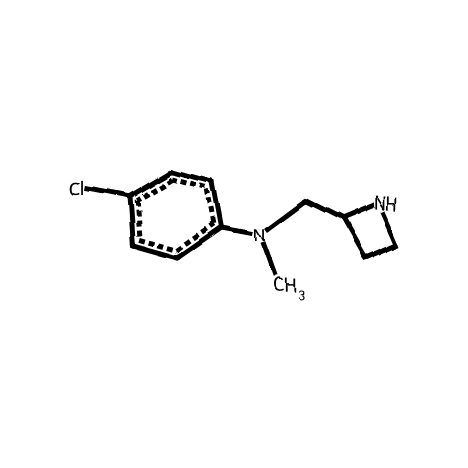 CN(CC1CCN1)c1ccc(Cl)cc1